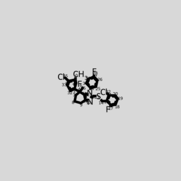 Cc1cc(C2(CF)CCCc3nc(SCc4c(F)cccc4Cl)n(-c4ccc(F)cc4)c32)ccc1Cl